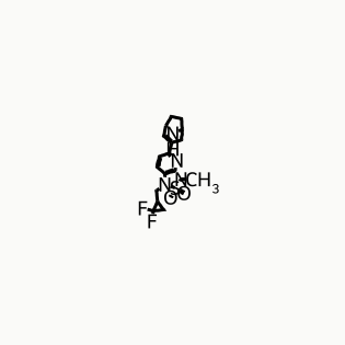 CN1c2nc(C3=CC4CCC(C3)N4)ccc2N(CC2CC2(F)F)S1(=O)=O